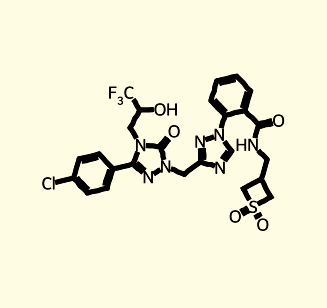 O=C(NCC1CS(=O)(=O)C1)c1ccccc1-n1cnc(Cn2nc(-c3ccc(Cl)cc3)n(CC(O)C(F)(F)F)c2=O)n1